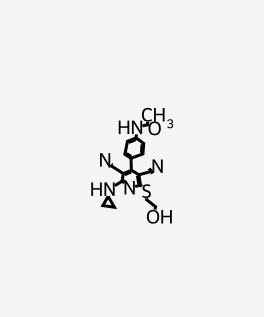 CC(=O)Nc1ccc(-c2c(C#N)c(NC3CC3)nc(SCCO)c2C#N)cc1